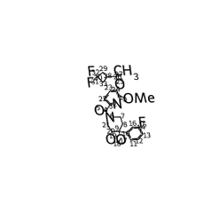 COc1nc(C(=O)N2CCC3(c4cccc(F)c4)OCOC3C2)ccc1OC(C)C1CC(F)(F)C1